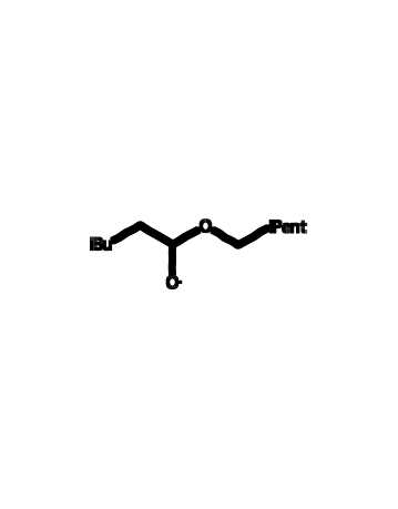 CCCC(C)COC([O])CC(C)CC